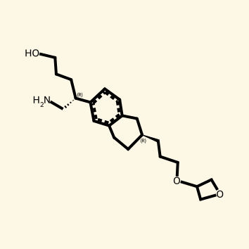 NC[C@H](CCCO)c1ccc2c(c1)CC[C@H](CCCOC1COC1)C2